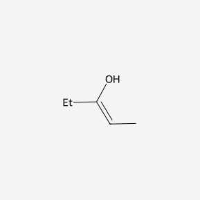 [CH2]CC(O)=CC